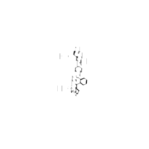 CN(Cc1ncncc1C(F)(F)F)C1CCN(c2nnc(-c3ccnn3C)c3ccccc23)CC1